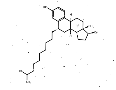 CC(O)CCCCCCCC[C@@H]1C[C@@H]2[C@H](CC[C@]3(C)[C@@H](O)CC[C@@H]23)c2ccc(O)cc21